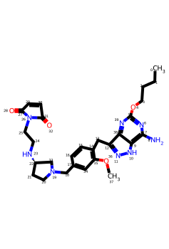 CCCCOc1nc(N)c2[nH]nc(Cc3ccc(CN4CC[C@H](NCCN5C(=O)C=CC5=O)C4)cc3OC)c2n1